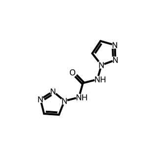 O=C(Nn1ccnn1)Nn1ccnn1